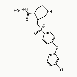 O=C(NO)[C@H]1CCNC[C@H]1CS(=O)(=O)c1ccc(Oc2cccc(Cl)c2)cc1